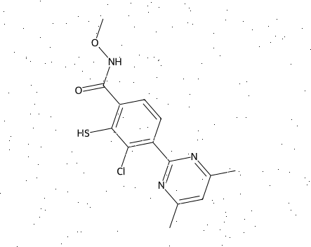 CONC(=O)c1ccc(-c2nc(C)cc(C)n2)c(Cl)c1S